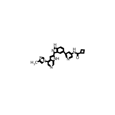 Cc1cn(-c2cncc3[nH]c(-c4n[nH]c5ccc(-c6cncc(NC(=O)C7CCC7)c6)cc45)cc23)cn1